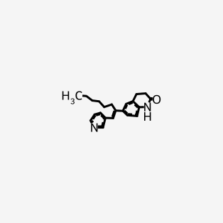 CCCCCCC(=Cc1cccnc1)c1ccc2c(c1)CCC(=O)N2